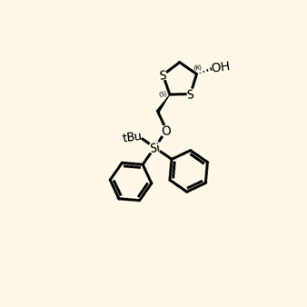 CC(C)(C)[Si](OC[C@H]1SC[C@H](O)S1)(c1ccccc1)c1ccccc1